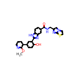 COc1ncccc1-c1ccc(O)c(-c2nc3cc(C(=O)NCc4cn5ccsc5n4)ccc3[nH]2)c1